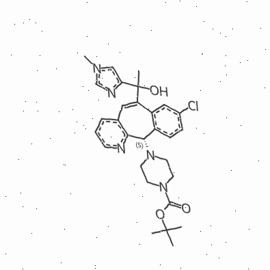 Cn1cnc(C(C)(O)C2=Cc3cccnc3[C@@H](N3CCN(C(=O)OC(C)(C)C)CC3)c3ccc(Cl)cc32)c1